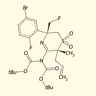 C=CC[C@]1(C)C(N(C(=O)OC(C)(C)C)C(=O)OC(C)(C)C)=N[C@](CF)(c2cc(Br)ccc2F)CS1(=O)=O